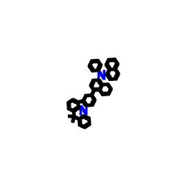 CC1(C)c2ccccc2-n2c3c(c4cccc1c42)CC(c1ccc(N(c2ccccc2)c2cccc4ccccc24)c2c1C=CCC2)C=C3